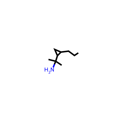 CCCC1CC1C(C)(C)N